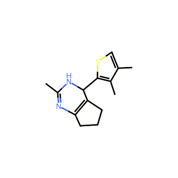 CC1=NC2=C(CCC2)C(c2scc(C)c2C)N1